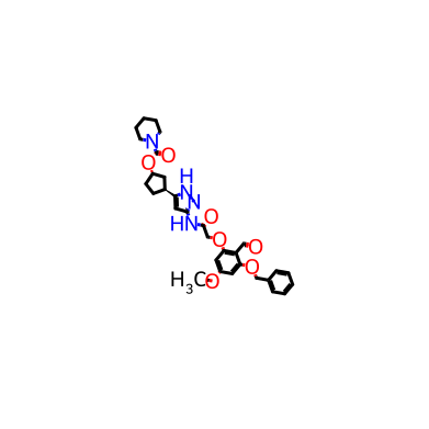 COc1cc(OCC(=O)Nc2cc([C@H]3CC[C@@H](OC(=O)N4CCCCC4)C3)[nH]n2)c(C=O)c(OCc2ccccc2)c1